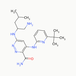 CC(C)CC(CN)Nc1cc(Nc2cccc(C(C)(C)C)n2)c(C(N)=O)nn1